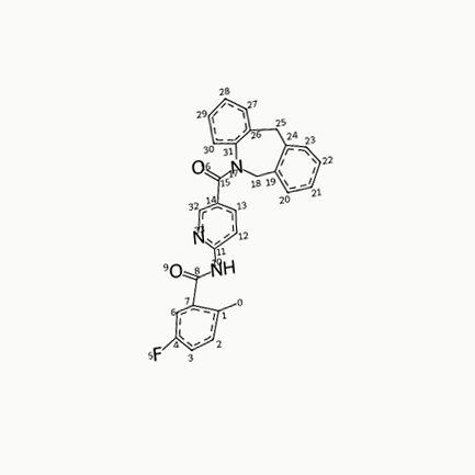 Cc1ccc(F)cc1C(=O)Nc1ccc(C(=O)N2Cc3ccccc3Cc3ccccc32)cn1